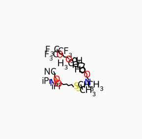 CC(C)N(C(C)C)P(OCCC#N)OCCCCCCSSC(C)(C)CCN(C)CCOc1ccc2c(c1)CC[C@@H]1[C@@H]2CC[C@]2(C)[C@@H](OCCCOC(C(F)(F)F)(C(F)(F)F)C(F)(F)F)CC[C@@H]12